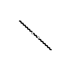 CCCCCCCCCCCCOC[CH]CCOCCCCCCCCCCCC